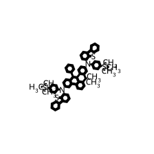 CC1(C)c2cc(N(c3ccc([Si](C)(C)C)cc3)c3cccc4c3sc3ccccc34)ccc2-c2c(-c3ccccc3)c3ccc(N(c4ccc([Si](C)(C)C)cc4)c4cccc5c4sc4ccccc45)cc3c3cccc1c23